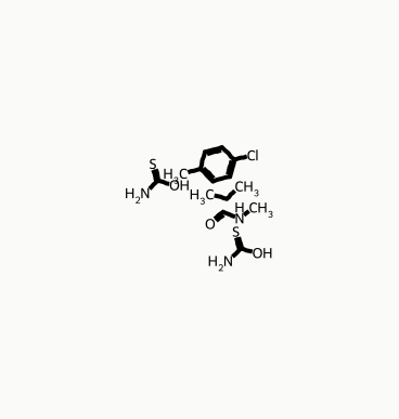 CCC.CNC=O.Cc1ccc(Cl)cc1.NC(O)=S.NC(O)=S